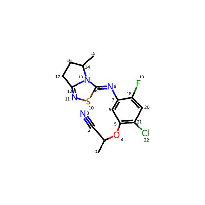 CC(C#N)Oc1cc(N=c2snc3n2C(C)CC3)c(F)cc1Cl